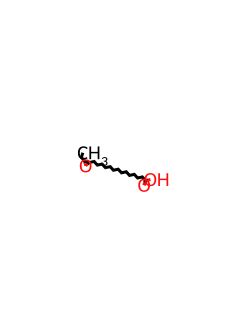 CCC1OC1CCCCCCCCCCCCCC(=O)O